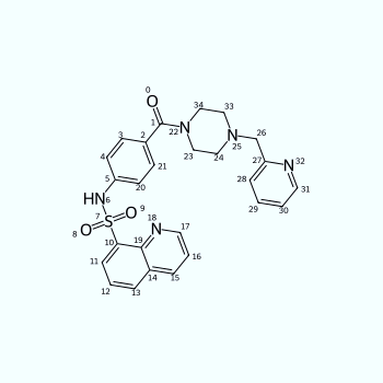 O=C(c1ccc(NS(=O)(=O)c2cccc3cccnc23)cc1)N1CCN(Cc2ccccn2)CC1